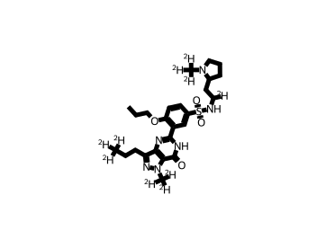 [2H]C(CC1CCCN1C([2H])([2H])[2H])NS(=O)(=O)c1ccc(OCCC)c(-c2nc3c(CCC([2H])([2H])[2H])nn(C([2H])([2H])[2H])c3c(=O)[nH]2)c1